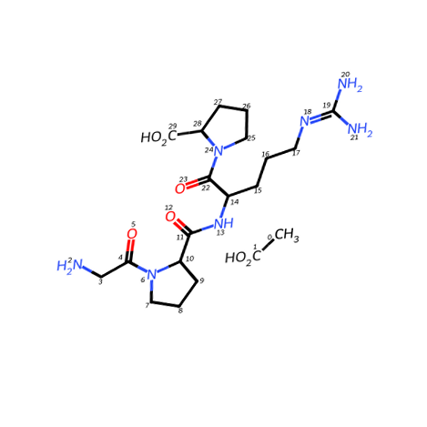 CC(=O)O.NCC(=O)N1CCCC1C(=O)NC(CCCN=C(N)N)C(=O)N1CCCC1C(=O)O